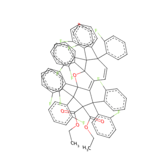 CCOC(=O)C1(C(=O)OCC)C(c2ccccc2F)(c2ccccc2F)C2=C3C=CC(c4ccccc4F)(c4ccccc4F)C(c4ccccc4F)(c4ccccc4F)C3(c3ccccc3F)OC2(c2ccccc2F)C1(c1ccccc1F)c1ccccc1F